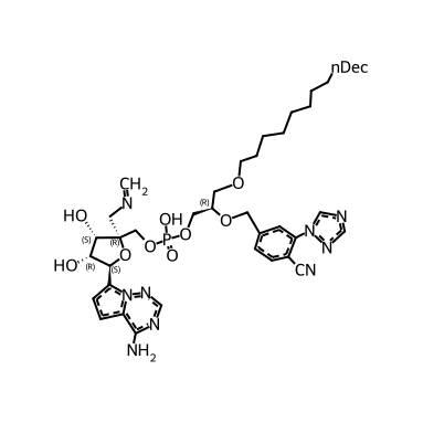 C=NC[C@]1(COP(=O)(O)OC[C@@H](COCCCCCCCCCCCCCCCCCC)OCc2ccc(C#N)c(-n3cncn3)c2)O[C@@H](c2ccc3c(N)ncnn23)[C@H](O)[C@@H]1O